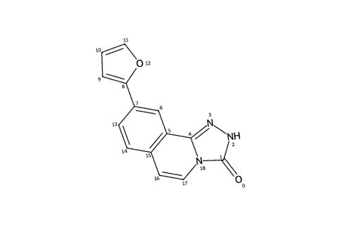 O=c1[nH]nc2c3cc(-c4ccco4)ccc3ccn12